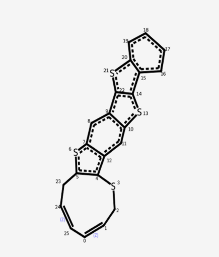 C1=C\CSc2c(sc3cc4c(cc23)sc2c3ccccc3sc42)C\C=C/1